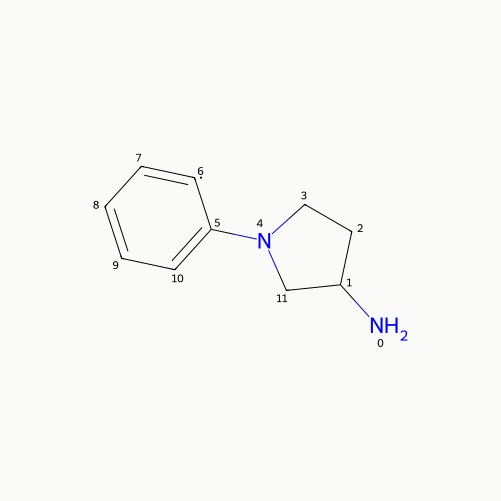 NC1CCN(c2[c]cccc2)C1